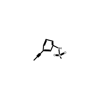 CC#Cc1cccc(NS(C)(=O)=O)c1